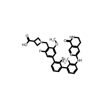 COc1cc(-c2cccc(-c3cccc(Nc4cc5c(cn4)C(=O)NCC5)c3C)c2C)cc(F)c1CN1CC(C(=O)O)C1